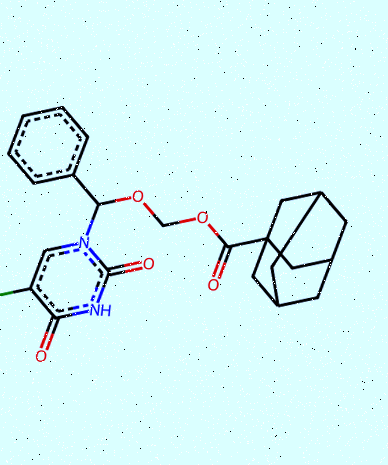 O=C(OCOC(c1ccccc1)n1cc(F)c(=O)[nH]c1=O)C12CC3CC(CC(C3)C1)C2